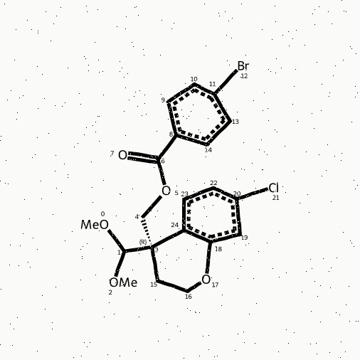 COC(OC)[C@]1(COC(=O)c2ccc(Br)cc2)CCOc2cc(Cl)ccc21